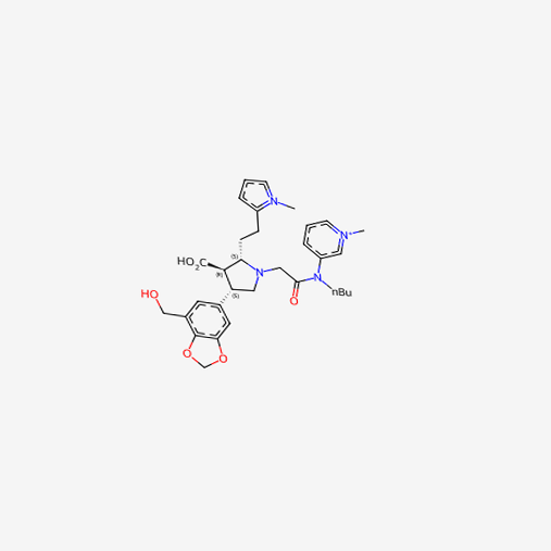 CCCCN(C(=O)CN1C[C@H](c2cc(CO)c3c(c2)OCO3)[C@@H](C(=O)O)[C@@H]1CCc1cccn1C)c1ccc[n+](C)c1